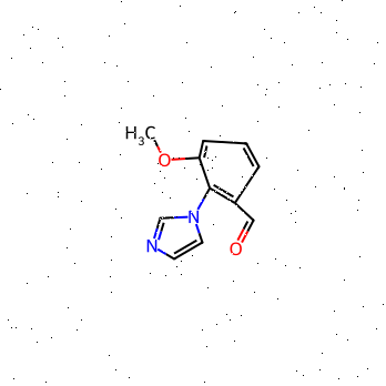 COc1cccc(C=O)c1-n1ccnc1